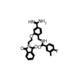 Cc1cc(C(=O)NCc2ccc(C(=N)N)cc2OCCN2C(=O)c3ccccc3C2=O)ccc1F